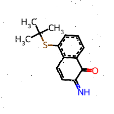 CC(C)(C)Sc1cccc2c1C=CC(=N)C2=O